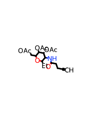 C#CCCC(=O)NC1C(CC)OC(COC(C)=O)C(OC(C)=O)C1OC(C)=O